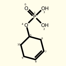 O=P(O)(O)OC1CC=CCC1